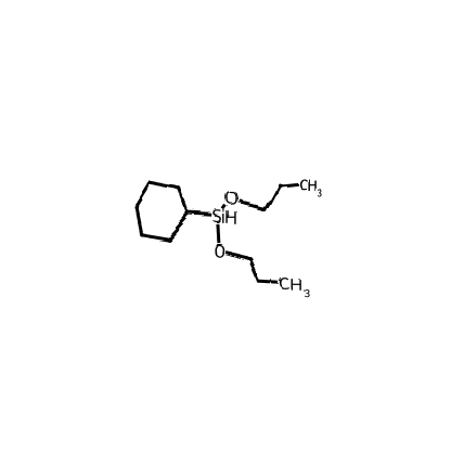 CCCO[SiH](OCCC)C1CCCCC1